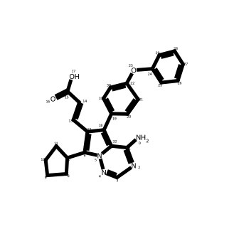 Nc1ncnn2c(C3CCCC3)c(/C=C/C(=O)O)c(-c3ccc(Oc4ccccc4)cc3)c12